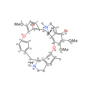 COc1ccc2c(Br)c1Oc1ccc(cc1)C[C@H]1c3cc(c(C)cc3CCN1C)Oc1c(OC)c(OC)c(Br)c3c1[C@H](C2)N(C)CC3